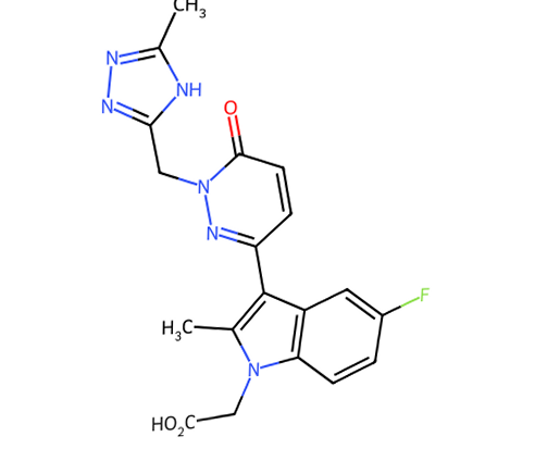 Cc1nnc(Cn2nc(-c3c(C)n(CC(=O)O)c4ccc(F)cc34)ccc2=O)[nH]1